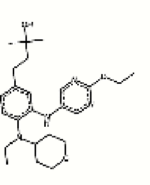 CCOc1ncc(Nc2cc(CCC(C)(C)O)ccc2N(CC)C2CCOCC2)cn1